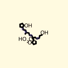 C/C(=C\C=C1\CCCC1O)C/C=C/[C@](C/C=C\CCO)(C(=O)O)[C@H]1CCCC1=O